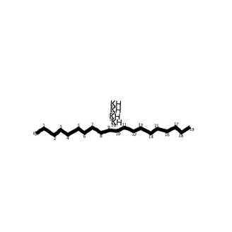 [CH2]CCCCCCCCCCCCCCCCCCC.[KH].[KH].[KH].[KH]